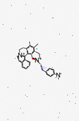 Cc1c(C)c2c(c3c1CC[n+]1ccc4ccccc4c1-3)-c1cccc(/C=C/c3ccc(N(C)C)cc3)[n+]1CC2